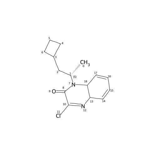 C[C@@H](CC1CCC1)N1C(=O)C(Cl)=NC2C=CC=CC21